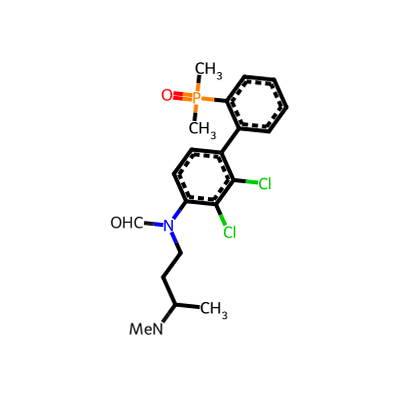 CNC(C)CCN(C=O)c1ccc(-c2ccccc2P(C)(C)=O)c(Cl)c1Cl